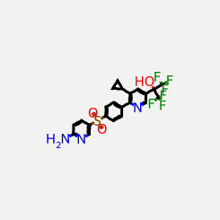 Nc1ccc(S(=O)(=O)c2ccc(-c3ncc(C(O)(C(F)(F)F)C(F)(F)F)cc3C3CC3)cc2)cn1